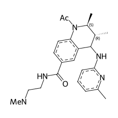 CNCCNC(=O)c1ccc2c(c1)C(Nc1cccc(C)n1)[C@@H](C)[C@H](C)N2C(C)=O